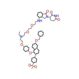 CCN(CCOCCOCCNc1cccc2c1CN(C1CCC(=O)NC1=O)C2=O)CCOc1ccc(Oc2c(-c3ccc(S(C)(=O)=O)cc3)ccc3cc(OCc4ccccc4)ccc23)cc1